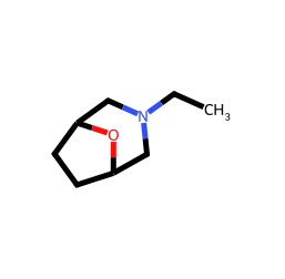 CCN1CC2CCC(C1)O2